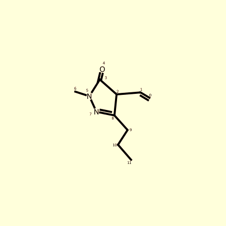 C=CC1C(=O)N(C)N=C1CCC